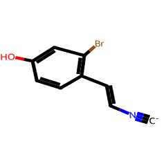 [C-]#[N+]C=Cc1ccc(O)cc1Br